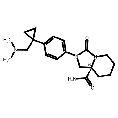 CN(C)CC1(c2ccc(N3C[C@@]4(C(N)=O)[CH]CCCN4C3=O)cc2)CC1